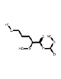 CCC(OC#N)OC(=O)C(CCCOC#N)OC#N